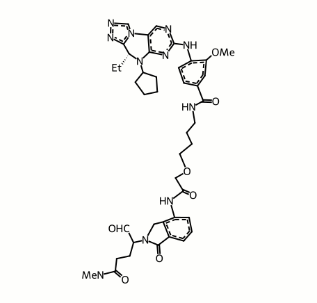 CC[C@@H]1c2nncn2-c2cnc(Nc3ccc(C(=O)NCCCCOCC(=O)Nc4cccc5c4CN(C(C=O)CCC(=O)NC)C5=O)cc3OC)nc2N1C1CCCC1